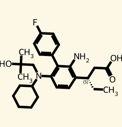 CC[C@@H](CC(=O)O)c1ccc(N(CC(C)(C)O)C2CCCCC2)c(-c2ccc(F)cc2)c1N